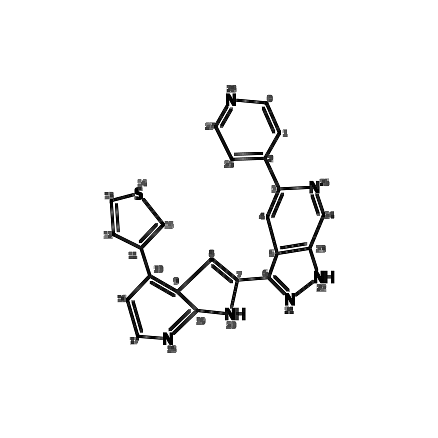 c1cc(-c2cc3c(-c4cc5c(-c6ccsc6)ccnc5[nH]4)n[nH]c3cn2)ccn1